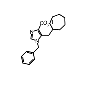 O=C(O)c1ncn(Cc2ccccc2)c1CC1CCCCCC1